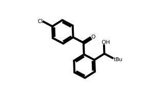 CC(C)(C)C(O)c1ccccc1C(=O)c1ccc(Cl)cc1